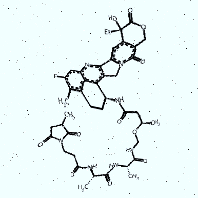 CC[C@@]1(O)C(=O)OCc2c1cc1n(c2=O)Cc2c-1nc1cc(F)c(C)c3c1c2[C@@H](NC(=O)C[C@@H](C)OCNC(=O)[C@H](C)NC(=O)[C@H](C)NC(=O)CCN1C(=O)CC(C)C1=O)CC3